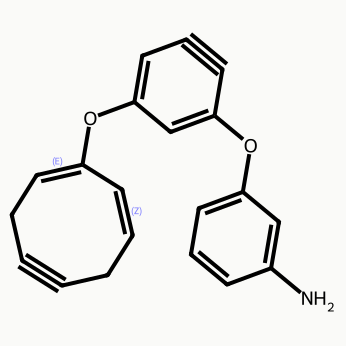 Nc1cccc(Oc2c#ccc(OC3=C/CC#CC/C=C\3)c2)c1